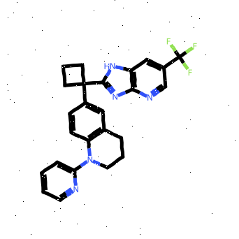 FC(F)(F)c1cnc2nc(C3(c4ccc5c(c4)CCCN5c4ccccn4)CCC3)[nH]c2c1